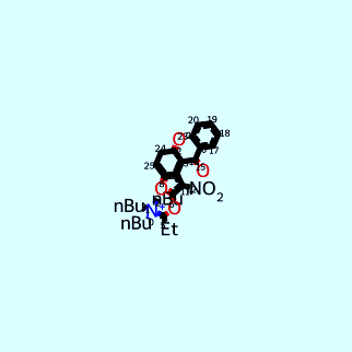 CCCC[N+](CCCC)(CCCC)C(CC)Oc1oc2c(c1[N+](=O)[O-])=C(C(=O)c1ccccc1)C(=O)CC=2